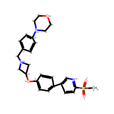 CS(=O)(=O)c1ccc(-c2ccc(OC3CN(Cc4ccc(N5CCOCC5)cc4)C3)cc2)cn1